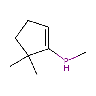 CPC1=CCCC1(C)C